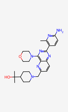 Cc1nc(N)ccc1-c1nc(N2CCOCC2)c2nc(CN3CCC(C(C)(C)O)CC3)ccc2n1